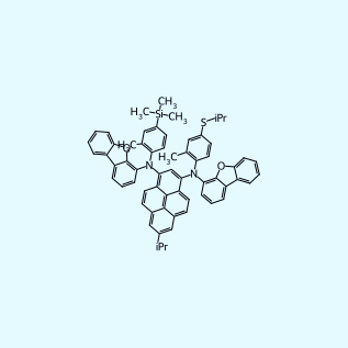 Cc1cc(SC(C)C)ccc1N(c1cc(N(c2ccc([Si](C)(C)C)cc2C)c2cccc3c2oc2ccccc23)c2ccc3cc(C(C)C)cc4ccc1c2c43)c1cccc2c1oc1ccccc12